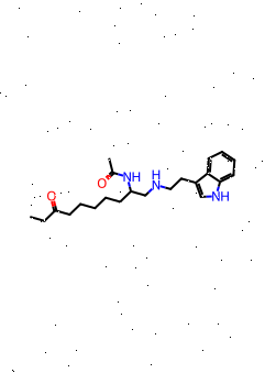 CCC(=O)CCCCCC(CNCCc1c[nH]c2ccccc12)NC(C)=O